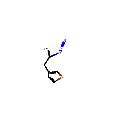 CCC(Cc1ccsc1)N=[N+]=[N-]